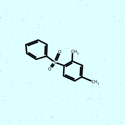 Cc1ccc(S(=O)(=O)c2ccccc2)c(C)c1